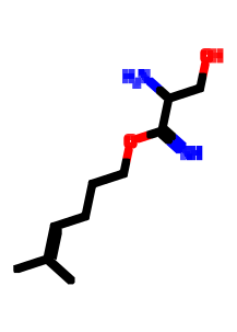 CC(C)=CCCCOC(=N)C(N)CO